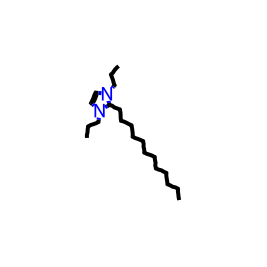 CCCCCCCCCCCCC1N(CCC)C=CN1CCC